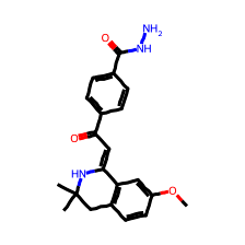 COc1ccc2c(c1)/C(=C/C(=O)c1ccc(C(=O)NN)cc1)NC(C)(C)C2